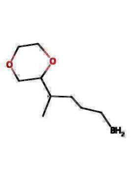 BCCC[C](C)C1COCCO1